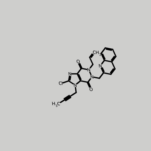 C=CCn1c(=O)c2nc(Cl)n(CC#CC)c2c(=O)n1Cc1ccc2ccccc2n1